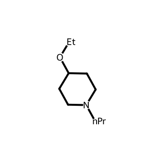 [CH2]CCN1CCC(OCC)CC1